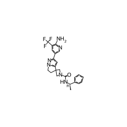 C[C@@H](NC(=O)N1CC2(CCn3nc(-c4cnc(N)c(C(F)(F)F)c4)cc32)C1)c1ccccc1